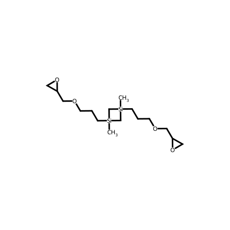 C[Si]1(CCCOCC2CO2)C[Si](C)(CCCOCC2CO2)C1